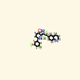 Fc1cc(F)cc(-c2ccc3onc(C(F)(F)c4ccc5ncccc5c4)c3n2)c1